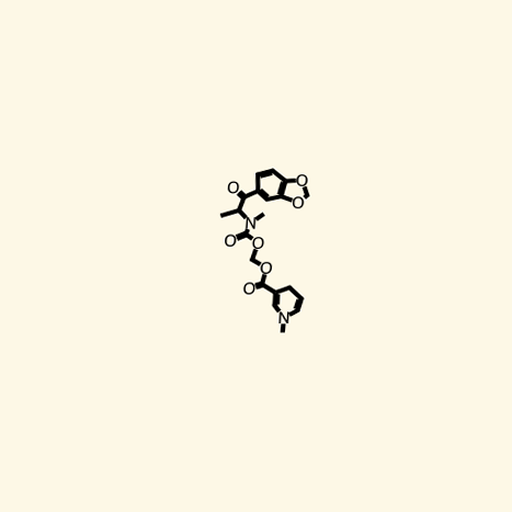 CC(C(=O)c1ccc2c(c1)OCO2)N(C)C(=O)OCOC(=O)C1=CN(C)C=CC1